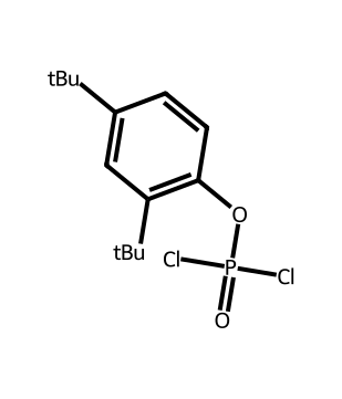 CC(C)(C)c1ccc(OP(=O)(Cl)Cl)c(C(C)(C)C)c1